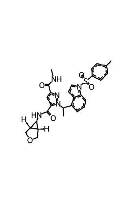 CNC(=O)c1cc(C(=O)N[C@H]2[C@@H]3COC[C@@H]32)n(C(C)c2cccc3c2ccn3S(=O)(=O)c2ccc(C)cc2)n1